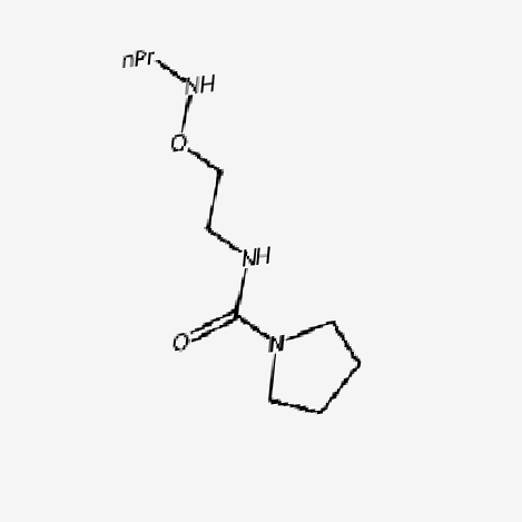 CCCNOCCNC(=O)N1CCCC1